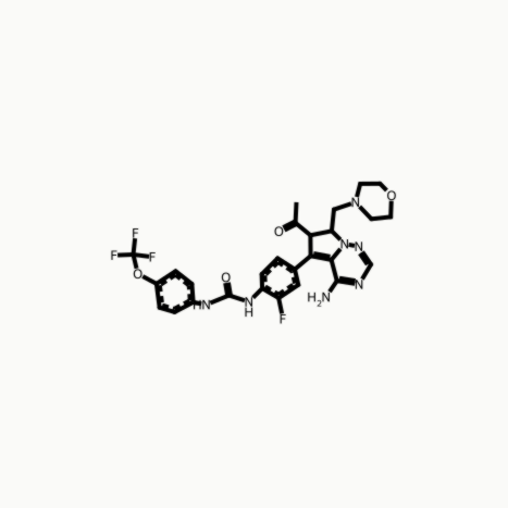 CC(=O)C1C(c2ccc(NC(=O)Nc3ccc(OC(F)(F)F)cc3)c(F)c2)=C2C(N)=NC=NN2C1CN1CCOCC1